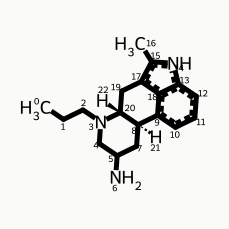 CCCN1CC(N)C[C@@H]2c3cccc4[nH]c(C)c(c34)C[C@H]21